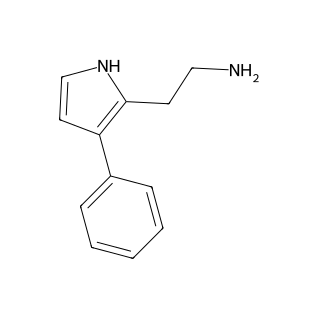 NCCc1[nH]ccc1-c1ccccc1